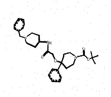 CC(C)(C)OC(=O)N1CCC(OCC(=O)NC2CCN(Cc3ccccc3)CC2)(c2ccccc2)CC1